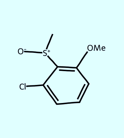 COc1cccc(Cl)c1[S+](C)[O-]